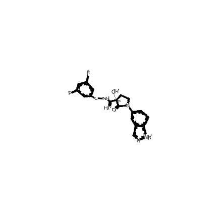 O=C1N(c2ccc3[nH]ncc3c2)CC[C@]1(O)C(=P)NCc1cc(F)cc(F)c1